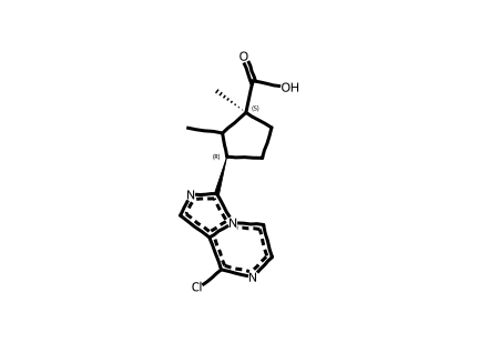 CC1[C@H](c2ncc3c(Cl)nccn23)CC[C@]1(C)C(=O)O